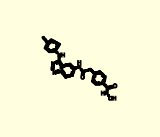 Cc1ccc(Nc2ncnc3ccc(NC(=O)Cc4ccc(C(=O)NO)cc4)cc23)cc1